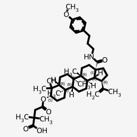 C=C(C)[C@@H]1CC[C@]2(C(=O)NCCCc3ccc(OC)cc3)CC[C@]3(C)[C@H](CC[C@@H]4[C@@]5(C)CC[C@H](OC(=O)CC(C)(C)C(=O)O)C(C)(C)[C@@H]5CC[C@]43C)[C@@H]12